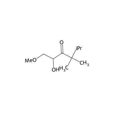 COCC(O)C(=O)C(C)(C)C(C)C